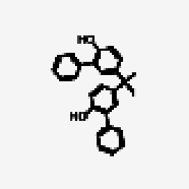 CC(I)(c1ccc(O)c(-c2ccccc2)c1)c1ccc(O)c(-c2ccccc2)c1